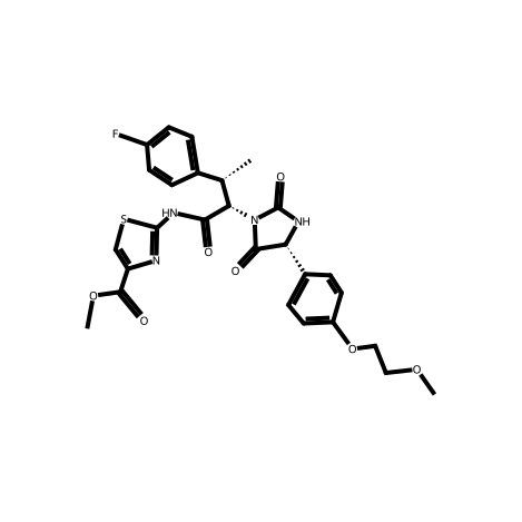 COCCOc1ccc([C@H]2NC(=O)N([C@H](C(=O)Nc3nc(C(=O)OC)cs3)[C@@H](C)c3ccc(F)cc3)C2=O)cc1